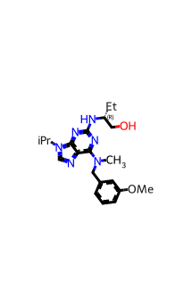 CC[C@H](CO)Nc1nc(N(C)Cc2cccc(OC)c2)c2ncn(C(C)C)c2n1